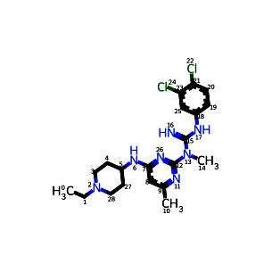 CCN1CCC(Nc2cc(C)nc(N(C)C(=N)Nc3ccc(Cl)c(Cl)c3)n2)CC1